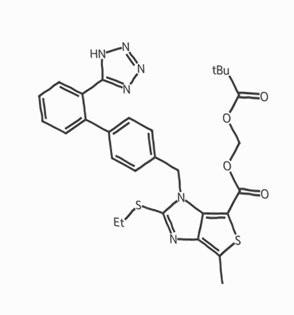 CCSc1nc2c(C)sc(C(=O)OCOC(=O)C(C)(C)C)c2n1Cc1ccc(-c2ccccc2-c2nnn[nH]2)cc1